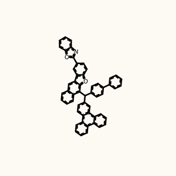 c1ccc(-c2ccc(C(c3ccc4c5ccccc5c5ccccc5c4c3)c3c4ccccc4cc4c3oc3ccc(-c5nc6ccccc6o5)cc34)cc2)cc1